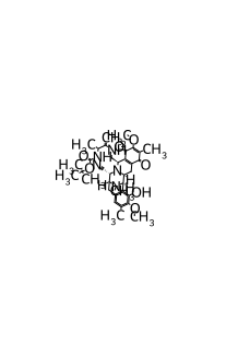 C=C(NC[C@H]1C2=C(C[C@H]3[C@H]4c5c(cc(C)c(OC)c5O)C[C@H]([C@H](C#N)N13)N4C)C(=O)C(C)=C(OC)C2=O)[C@H](C)NC(=O)OC(C)(C)C